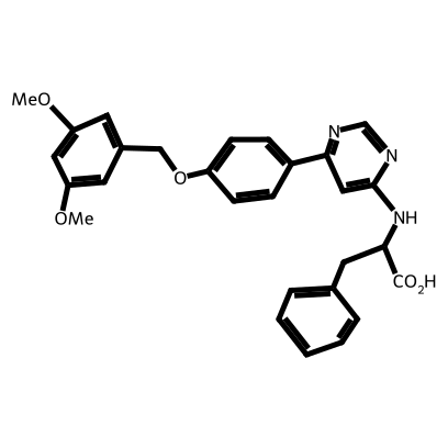 COc1cc(COc2ccc(-c3cc(NC(Cc4ccccc4)C(=O)O)ncn3)cc2)cc(OC)c1